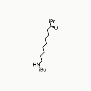 CCC(C)NCCCCCCCCC(=O)C(C)C